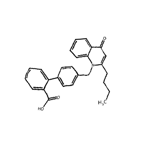 CCCCc1cc(=O)c2ccccc2n1Cc1ccc(-c2ccccc2C(=O)O)cc1